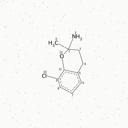 CC1(N)CCc2cccc(Cl)c2O1